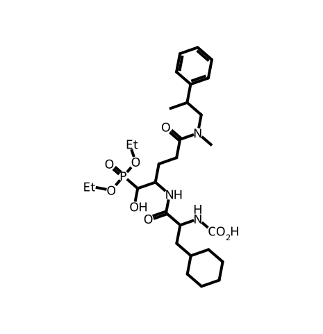 CCOP(=O)(OCC)C(O)C(CCC(=O)N(C)CC(C)c1ccccc1)NC(=O)C(CC1CCCCC1)NC(=O)O